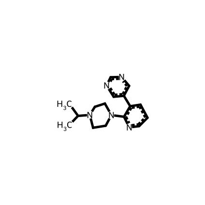 CC(C)N1CCN(c2ncccc2-c2cncnc2)CC1